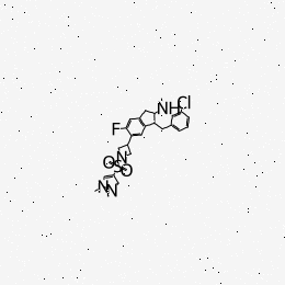 CNC1Cc2cc(F)c(C3CN(S(=O)(=O)c4cnn(C)c4)C3)cc2C1Cc1cccc(Cl)c1